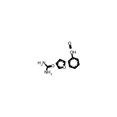 C=O.NC(N)=O.Oc1ccccc1.c1ccoc1